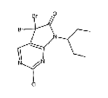 CCC(CC)N1C(=O)C(Br)(Br)c2cnc(Cl)nc21